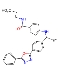 CC(C)C(Nc1ccc(C(=O)NCCC(=O)O)cc1)c1ccc(-c2nnc(-c3ccccc3)o2)cc1